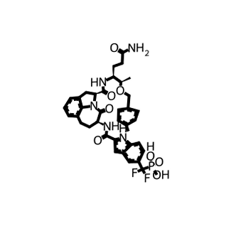 Cc1ccc(CO[C@H](C)[C@H](CCC(N)=O)NC(=O)[C@@H]2Cc3cccc4c3N2C(=O)[C@@H](NC(=O)c2cc3cc(C(F)(F)P(=O)(O)O)ccc3[nH]2)CC4)cc1